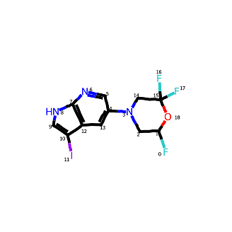 FC1CN(c2cnc3[nH]cc(I)c3c2)CC(F)(F)O1